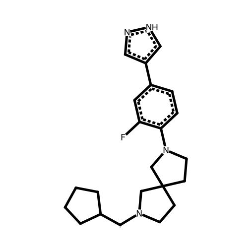 Fc1cc(-c2cn[nH]c2)ccc1N1CCC2(CCN([CH]C3CCCC3)C2)C1